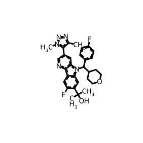 Cc1nnn(C)c1-c1cnc2c3cc(F)c(C(C)(C)O)cc3n(C(c3ccc(F)cc3)C3CCOCC3)c2c1